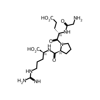 N=C(N)NCCC[C@H](NC(=O)[C@@H]1CCCN1C(=O)[C@H](CCC(=O)O)NC(=O)CN)C(=O)O